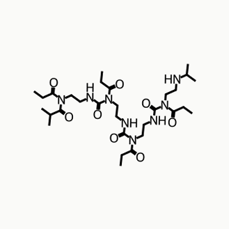 CCC(=O)N(CCNC(=O)N(CCNC(C)C)C(=O)CC)C(=O)NCCN(C(=O)CC)C(=O)NCCN(C(=O)CC)C(=O)C(C)C